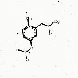 CCC(CC)Oc1ccc(N)c(CN(C(=O)O)C(C)(C)C)c1